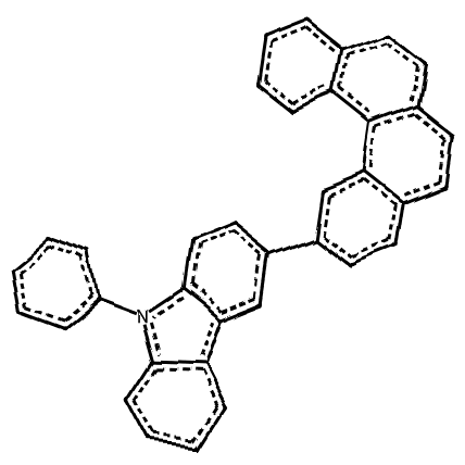 c1ccc(-n2c3ccccc3c3cc(-c4ccc5ccc6ccc7ccccc7c6c5c4)ccc32)cc1